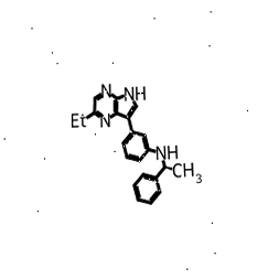 CCc1cnc2[nH]cc(-c3cccc(N[C@@H](C)c4ccccc4)c3)c2n1